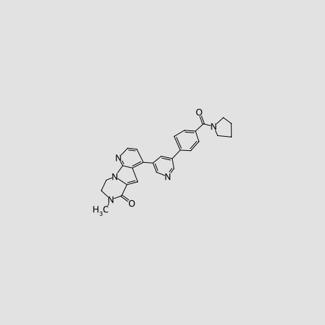 CN1CCn2c(cc3c(-c4cncc(-c5ccc(C(=O)N6CCCC6)cc5)c4)ccnc32)C1=O